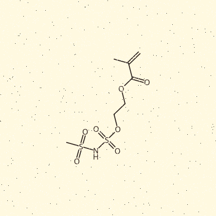 C=C(C)C(=O)OCCOS(=O)(=O)NS(C)(=O)=O